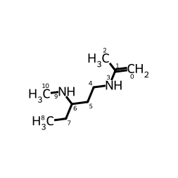 C=C(C)NCCC(CC)NC